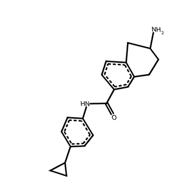 NC1CCc2cc(C(=O)Nc3ccc(C4CC4)cc3)ccc2C1